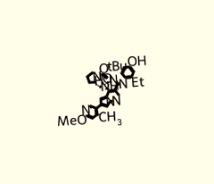 CCc1cc(O)ccc1N=C(N)c1cnn2cc(-c3cnc(OC)cc3C)cc2c1NC[C@@H]1CCCN1C(=O)OC(C)(C)C